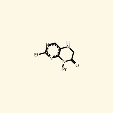 CCc1ncc2c(n1)N(C(C)C)C(=O)CN2